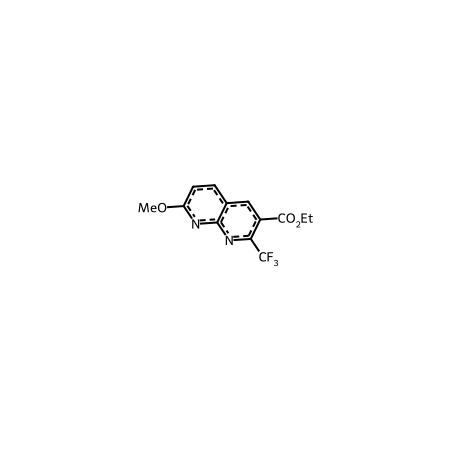 CCOC(=O)c1cc2ccc(OC)nc2nc1C(F)(F)F